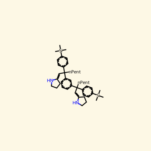 CCCCCC(/C=C1\CCCN1)(c1ccc([Si](C)(C)C)cc1)c1cccc(C(/C=C2\CCCN2)(CCCCC)c2ccc([Si](C)(C)C)cc2)c1